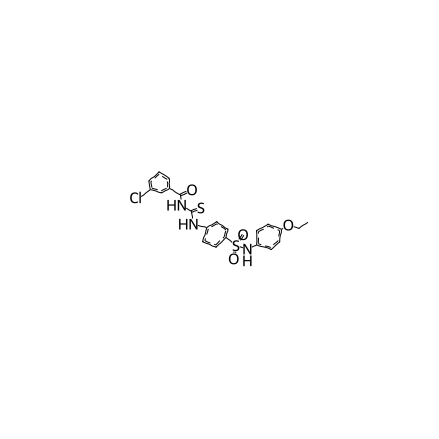 CCOc1ccc(NS(=O)(=O)c2ccc(NC(=S)NC(=O)c3cccc(Cl)c3)cc2)cc1